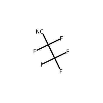 N#CC(F)(F)C(F)(F)I